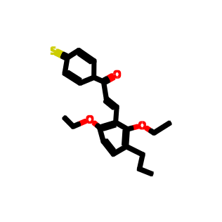 CCCc1ccc(OCC)c(/C=C/C(=O)C2C=CC(=S)C=C2)c1OCC